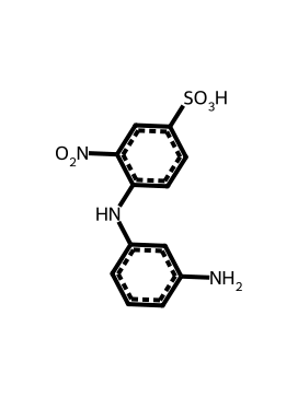 Nc1cccc(Nc2ccc(S(=O)(=O)O)cc2[N+](=O)[O-])c1